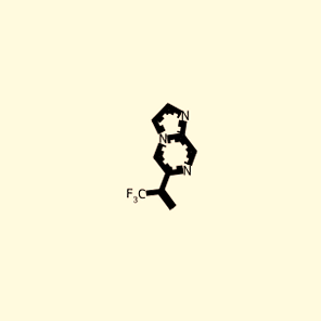 C=C(c1cn2ccnc2cn1)C(F)(F)F